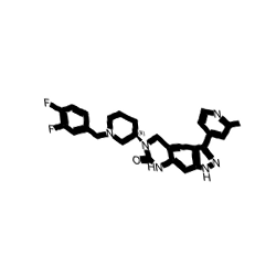 Cc1cc(-c2n[nH]c3cc4c(cc23)CN([C@@H]2CCCN(Cc3ccc(F)c(F)c3)C2)C(=O)N4)ccn1